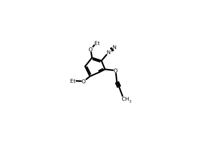 CC#COc1cc(OCC)cc(OCC)c1[N+]#N